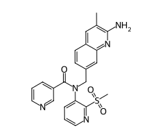 Cc1cc2ccc(CN(C(=O)c3cccnc3)c3cccnc3S(C)(=O)=O)cc2nc1N